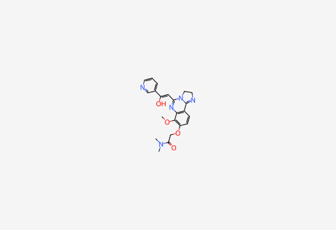 COc1c(OCC(=O)N(C)C)ccc2c1N=C(C=C(O)c1cccnc1)N1CCN=C21